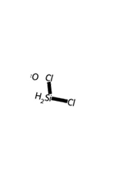 Cl[SiH2]Cl.[O]